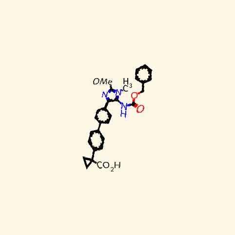 COc1nc(-c2ccc(-c3ccc(C4(C(=O)O)CC4)cc3)cc2)c(NC(=O)OCc2ccccc2)n1C